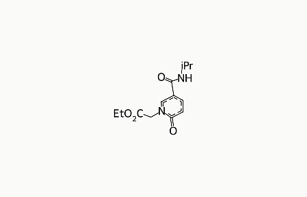 CCOC(=O)Cn1cc(C(=O)NC(C)C)ccc1=O